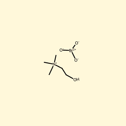 C[N+](C)(C)CCO.[O-][Br+2]([O-])[O-]